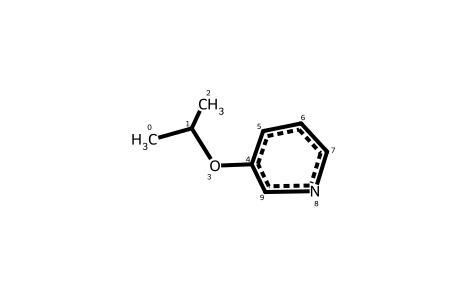 CC(C)Oc1cccnc1